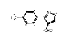 O=Cc1csnc1-c1ccc(C(F)(F)F)cc1